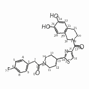 O=C(Cc1ccc(F)cc1)N1CCC(c2nc(C(=O)N3CCc4cc(O)c(O)cc4C3)cs2)CC1